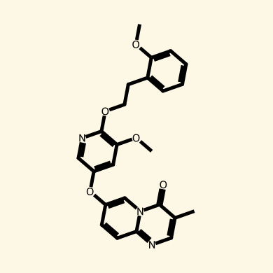 COc1ccccc1CCOc1ncc(Oc2ccc3ncc(C)c(=O)n3c2)cc1OC